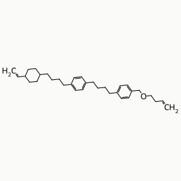 C=CCCOCc1ccc(CCCCc2ccc(CCCCC3CCC(C=C)CC3)cc2)cc1